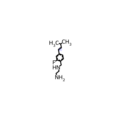 CC(C)/C=C/c1ccc(CNCCN)c(F)c1